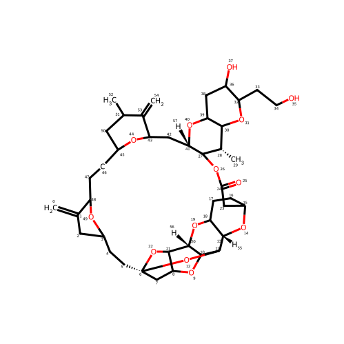 C=C1CC2CC[C@@]34CC5OC6C(O3)[C@H]3OC(CCC3O[C@H]6C5O4)CC(=O)OC3[C@@H](C)C4OC(CCO)C(O)CC4O[C@H]3CC3OC(CCC1O2)CC(C)C3=C